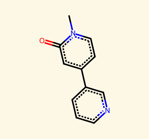 Cn1ccc(-c2cccnc2)cc1=O